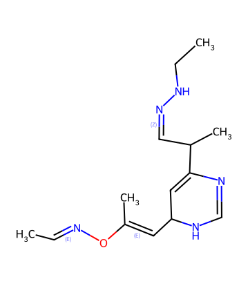 C/C=N/O/C(C)=C/C1C=C(C(C)/C=N\NCC)N=CN1